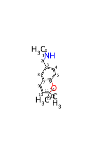 CNCc1ccc2c(c1)C=CC(C)(C)O2